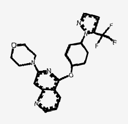 FC(F)(F)c1ccnn1C1CCC(Oc2nc(N3CCOCC3)cc3ncccc23)CC1